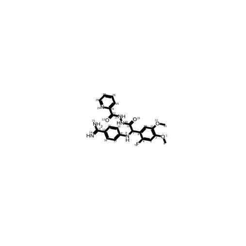 COc1cc(F)c(C(Nc2ccc(C(=N)N)cc2)C(=O)NNC(=O)c2ccccn2)cc1OC